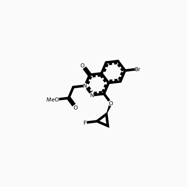 COC(=O)Cn1nc(O[C@H]2CC2F)c2cc(Br)ccc2c1=O